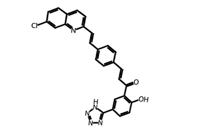 O=C(C=Cc1ccc(C=Cc2ccc3ccc(Cl)cc3n2)cc1)c1cc(-c2nnn[nH]2)ccc1O